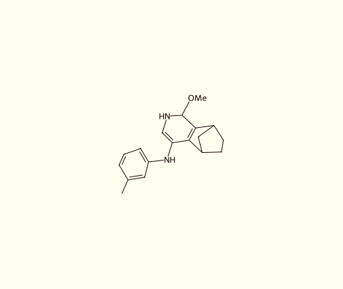 COC1NC=C(Nc2cccc(C)c2)C2=C1C1CCC2C1